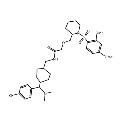 COc1ccc(S(=O)(=O)N2CCCCC2COCC(=O)NCC2CCC(C(c3ccc(Cl)cc3)N(C)C)CC2)c(OC)c1